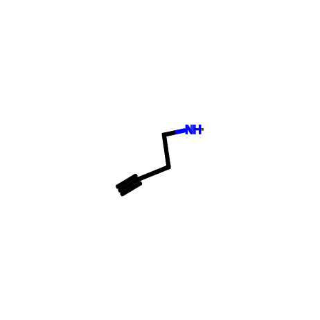 C#CCC[NH]